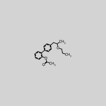 CCCOC(C)Cc1ccc(-c2ccccc2OC(C)=O)cc1